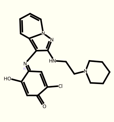 O=C1C=C(O)/C(=N/c2c(NCCN3CCCCC3)nn3ccccc23)C=C1Cl